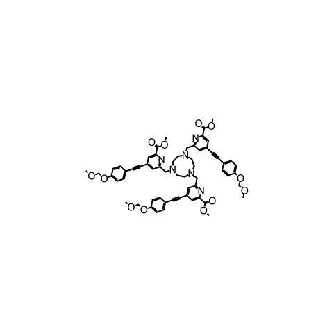 COCOc1ccc(C#Cc2cc(CN3CCN(Cc4cc(C#Cc5ccc(OCOC)cc5)cc(C(=O)OC)n4)CCN(Cc4cc(C#Cc5ccc(OCOC)cc5)cc(C(=O)OC)n4)CC3)nc(C(=O)OC)c2)cc1